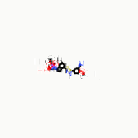 CC(C)Oc1ccc(-c2ncc(-c3cccc4c3CC[C@H]4N(CC(=O)O)C(=O)OC(C)(C)C)s2)cc1C#N